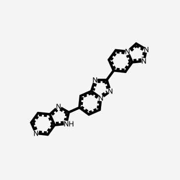 c1cc2nc(-c3ccn4nc(-c5ccn6cnnc6c5)nc4c3)[nH]c2cn1